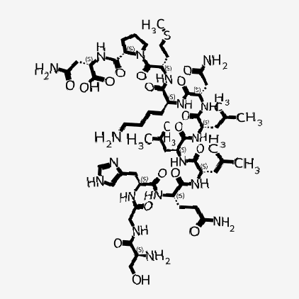 CSCC[C@H](NC(=O)[C@H](CCCCN)NC(=O)[C@H](CC(N)=O)NC(=O)[C@H](CC(C)C)NC(=O)[C@H](CC(C)C)NC(=O)[C@H](CC(C)C)NC(=O)[C@H](CCC(N)=O)NC(=O)[C@H](Cc1c[nH]cn1)NC(=O)CNC(=O)[C@@H](N)CO)C(=O)N1CCC[C@H]1C(=O)N[C@@H](CC(N)=O)C(=O)O